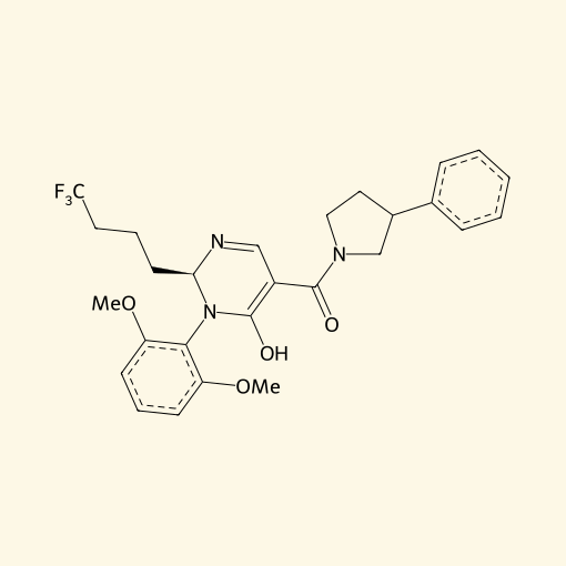 COc1cccc(OC)c1N1C(O)=C(C(=O)N2CCC(c3ccccc3)C2)C=N[C@@H]1CCCC(F)(F)F